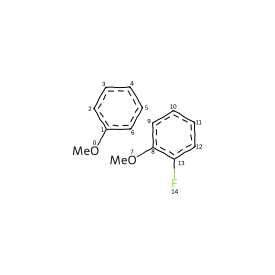 COc1ccccc1.COc1ccccc1F